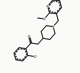 COc1ncccc1CN1CCC(CC(=O)c2ccccc2Cl)CC1